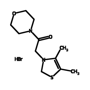 Br.CC1=C(C)N(CC(=O)N2CCOCC2)CS1